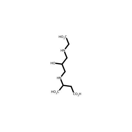 O=C(O)CNCC(O)CNC(CC(=O)O)C(=O)O